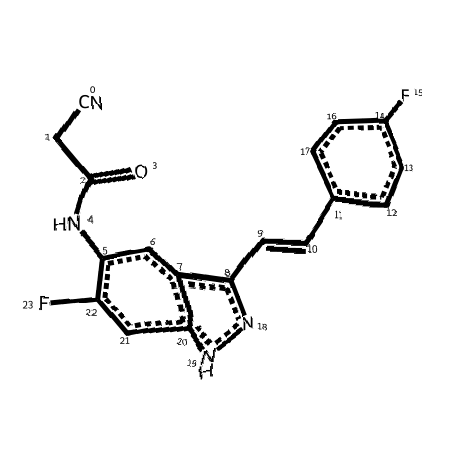 N#CCC(=O)Nc1cc2c(C=Cc3ccc(F)cc3)n[nH]c2cc1F